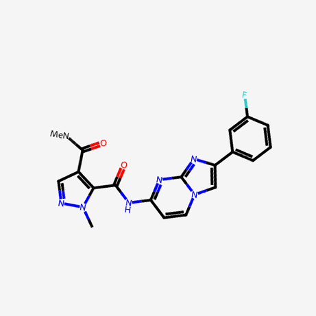 CNC(=O)c1cnn(C)c1C(=O)Nc1ccn2cc(-c3cccc(F)c3)nc2n1